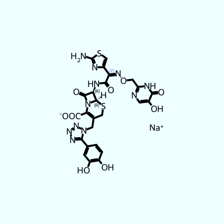 Nc1nc(/C(=N/OCc2ncc(O)c(=O)[nH]2)C(=O)N[C@@H]2C(=O)N3C(C(=O)[O-])=C(Cn4nnnc4-c4ccc(O)c(O)c4)CS[C@H]23)cs1.[Na+]